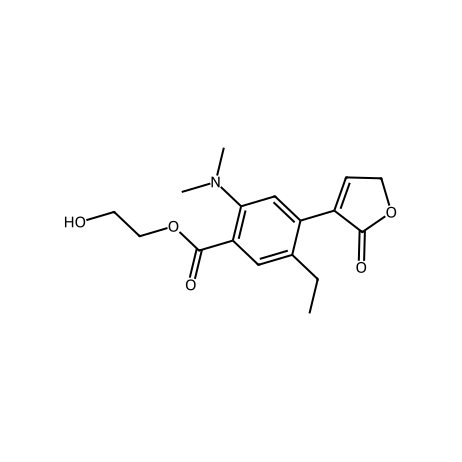 CCc1cc(C(=O)OCCO)c(N(C)C)cc1C1=CCOC1=O